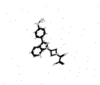 C=C(F)C(=O)N1CC(n2nc(-c3ccc(OC(F)(F)F)cc3)c3cccnc32)C1